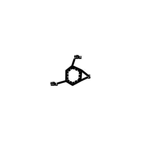 CC(C)(C)c1cc2c(c(C(C)(C)C)c1)S2